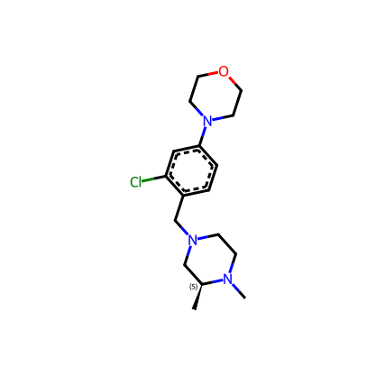 C[C@H]1CN(Cc2ccc(N3CCOCC3)cc2Cl)CCN1C